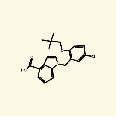 CC(C)(C)COc1ccc(Cl)cc1Cn1ccc2c(C(=O)O)cccc21